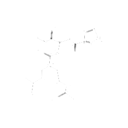 CNC(=O)C(CC(=O)c1c[nH]cn1)NC(=O)N(CCSC(C)=O)CCC(C)C